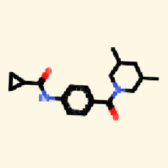 CC1CC(C)CN(C(=O)c2ccc(NC(=O)C3CC3)cc2)C1